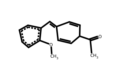 COc1ccccc1C=C1C=CC(C(C)=O)C=C1